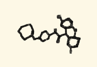 O=C(NC1CCN(CC2=CCCCCCC2)CC1)C1c2cc(Cl)ccc2Oc2ccc(Cl)cc21